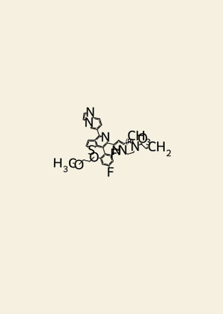 C=CC(=O)N1CCn2nc(-c3nc(-c4ccc5nccn5c4)c4ccsc4c3-c3c(F)cc(F)cc3OCCOC)cc2[C@H]1C